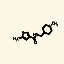 Cc1cc(C(=O)NCC2CCN(C)CC2)cs1